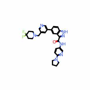 O=C(Nc1ccc(N2CCCC2)nc1)c1n[nH]c2ccc(-c3cncc(CN4CCC(F)(F)CC4)c3)cc12